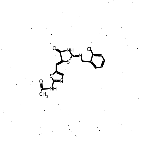 CC(=O)Nc1ncc(/C=C2\S/C(=N\Cc3ccccc3Cl)NC2=O)s1